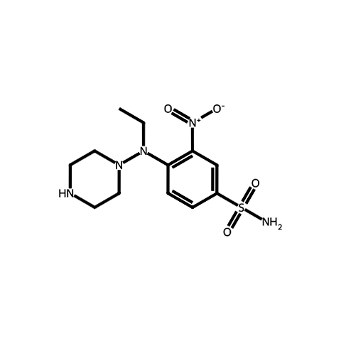 CCN(c1ccc(S(N)(=O)=O)cc1[N+](=O)[O-])N1CCNCC1